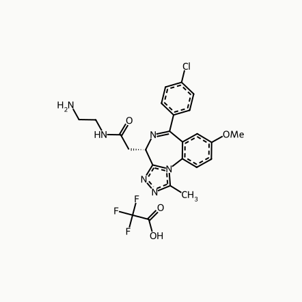 COc1ccc2c(c1)C(c1ccc(Cl)cc1)=N[C@@H](CC(=O)NCCN)c1nnc(C)n1-2.O=C(O)C(F)(F)F